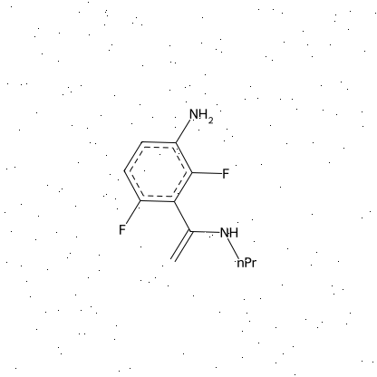 C=C(NCCC)c1c(F)ccc(N)c1F